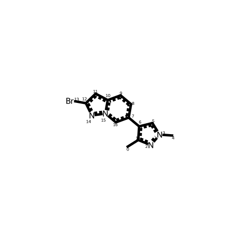 Cc1nn(C)cc1-c1ccc2cc(Br)nn2c1